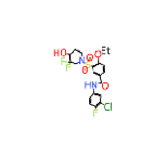 CCOc1ccc(C(=O)Nc2ccc(F)c(Cl)c2)cc1S(=O)(=O)N1CCC(O)C(F)(F)C1